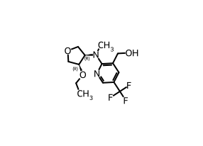 CCO[C@H]1COC[C@H]1N(C)c1ncc(C(F)(F)F)cc1CO